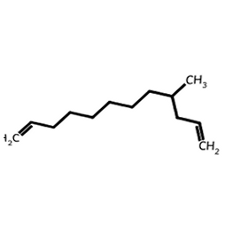 C=CCCCCCCC(C)CC=C